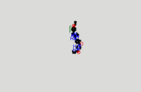 C#CCOc1ccc(-c2cnc3c(Nc4ccc(C(=O)N5CCN(C(=O)[C@@H]6CCCN6)CC5)c(C)c4)nccn23)c(F)c1F